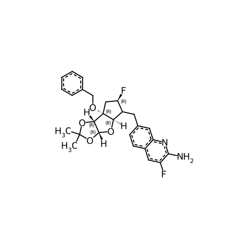 CC1(C)O[C@H]2O[C@@H]3C(Cc4ccc5cc(F)c(N)nc5c4)[C@H](F)C[C@]3(OCc3ccccc3)[C@H]2O1